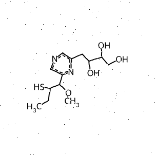 CCC(S)C(OC)c1cncc(CC(O)C(O)CO)n1